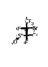 O=[S+]C(F)(F)C(F)(Br)C(F)(F)F